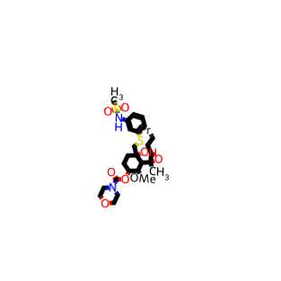 COC1C(OC(=O)N2CCOCC2)CCC(O)(CSc2cccc(NS(C)(=O)=O)c2)C1C1(C)OC1CCC(C)C